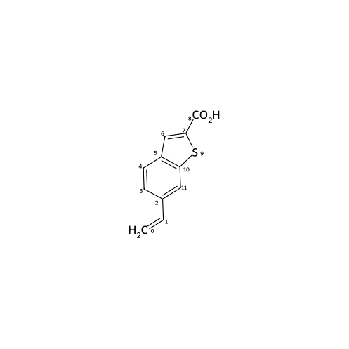 C=Cc1ccc2cc(C(=O)O)sc2c1